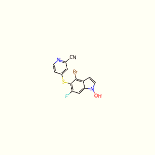 N#Cc1cc(Sc2c(F)cc3c(ccn3O)c2Br)ccn1